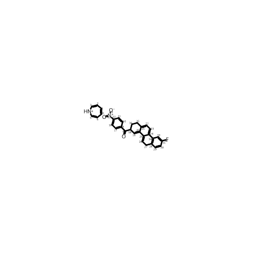 C1=CC=CNC=C1.O=C(c1ccc([N+](=O)[O-])cc1)C1C=c2c(ccc3c2=CCc2ccc(F)cc2-3)CC1